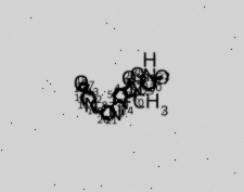 C[C@@H]1c2c(ccc(-c3cc(CN4CCC5(CC4)COC5)ccn3)c2F)C(=O)N1[C@H]1CCC(=O)NC1=O